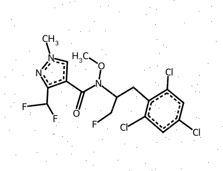 CON(C(=O)c1cn(C)nc1C(F)F)C(CF)Cc1c(Cl)cc(Cl)cc1Cl